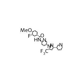 COc1ccc(C(=O)Nc2ccc(-n3nc(-c4cccnc4)cc3C(F)(F)F)cn2)cc1F